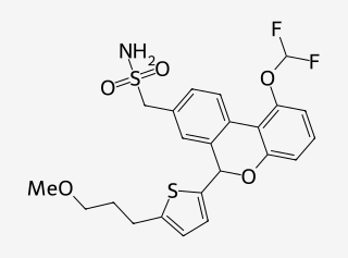 COCCCc1ccc(C2Oc3cccc(OC(F)F)c3-c3ccc(CS(N)(=O)=O)cc32)s1